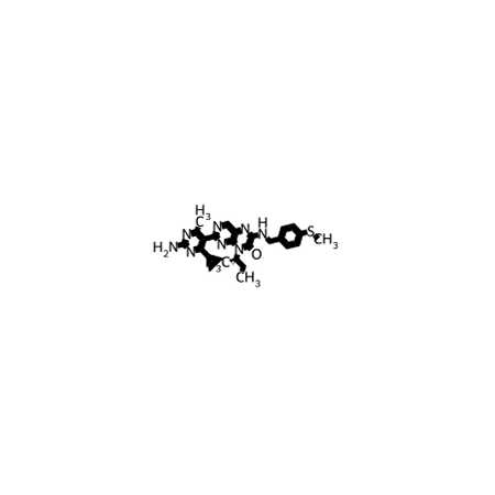 CC[C@@H](C)n1c(=O)c(NCc2ccc(SC)cc2)nc2cnc(-c3c(C)nc(N)nc3C3CC3)nc21